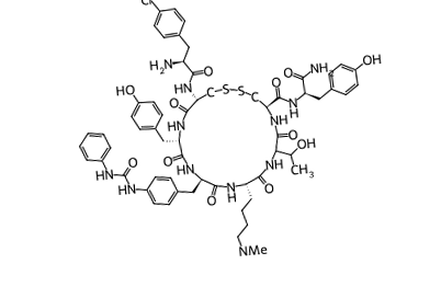 CNCCCC[C@@H]1NC(=O)[C@@H](Cc2ccc(NC(=O)Nc3ccccc3)cc2)NC(=O)[C@H](Cc2ccc(O)cc2)NC(=O)[C@H](NC(=O)[C@@H](N)Cc2ccc(Cl)cc2)CSSC[C@@H](C(=O)N[C@H](Cc2ccc(O)cc2)C(N)=O)NC(=O)C(C(C)O)NC1=O